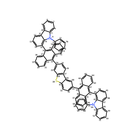 c1ccc(-n2c3ccccc3c3cccc(-c4c5ccccc5c(-c5ccc6c(c5)sc5ccc(-c7c8ccccc8c(-c8cccc9c%10ccccc%10n(-c%10ccccc%10)c89)c8ccccc78)cc56)c5ccccc45)c32)cc1